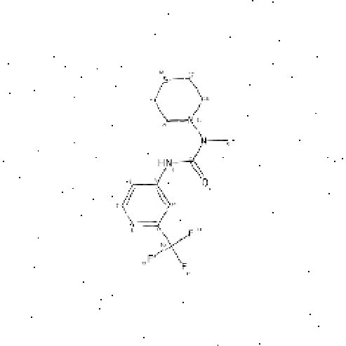 CN(C(=O)Nc1cccc(C(F)(F)F)c1)N1CCSCC1